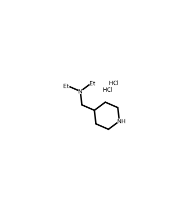 CCN(CC)CC1CCNCC1.Cl.Cl